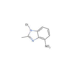 CCn1c(C)nc2c([N+](=O)[O-])cccc21